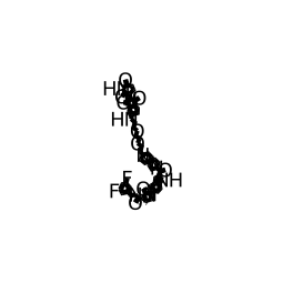 O=C1CCC(N2C(=O)c3ccc(NCCOCCOCCN4CCC5(CC4)CCN(C(=O)c4cc6cc(N7CC[C@H](C(=O)NCc8cc(F)cc(F)c8)C7=O)ccc6[nH]4)CC5)cc3C2=O)C(=O)N1